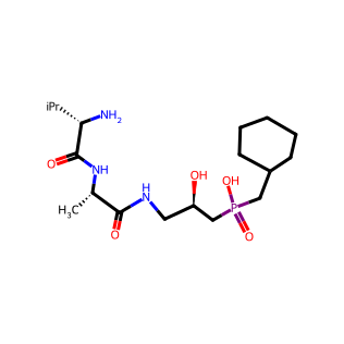 CC(C)[C@H](N)C(=O)N[C@@H](C)C(=O)NC[C@@H](O)CP(=O)(O)CC1CCCCC1